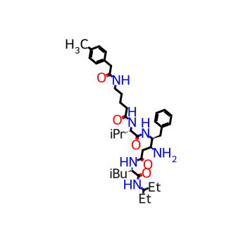 CCC(CC)NC(=O)[C@@H](NC(=O)C[C@H](N)[C@H](Cc1ccccc1)NC(=O)[C@@H](NC(=O)CCCCNC(=O)Cc1ccc(C)cc1)C(C)C)[C@@H](C)CC